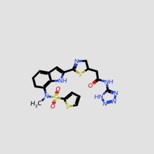 CN(C1=c2[nH]c(C3=NCC(CC(=O)Nc4nnn[nH]4)S3)cc2=CCC1)S(=O)(=O)c1cccs1